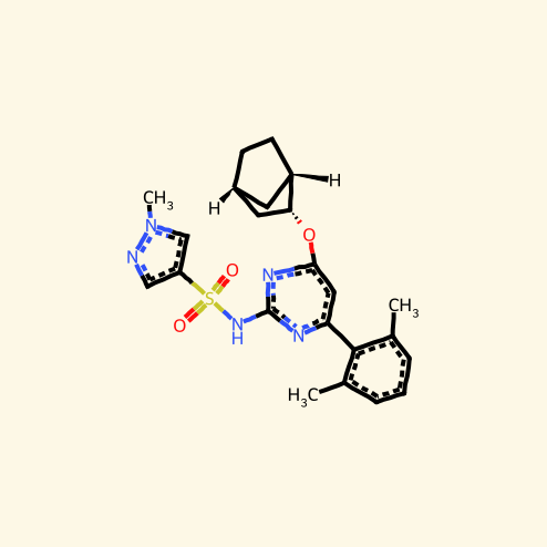 Cc1cccc(C)c1-c1cc(O[C@@H]2C[C@@H]3CC[C@H]2C3)nc(NS(=O)(=O)c2cnn(C)c2)n1